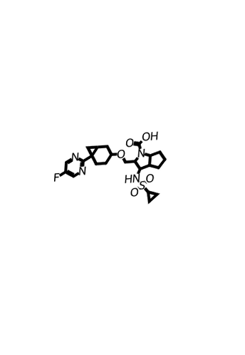 O=C(O)N1C2CCCC2C(NS(=O)(=O)C2CC2)C1COC1CCC2(c3ncc(F)cn3)CC2C1